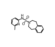 Cc1cccc(NS(=O)(=O)N2CCc3ccccc3CC2)n1